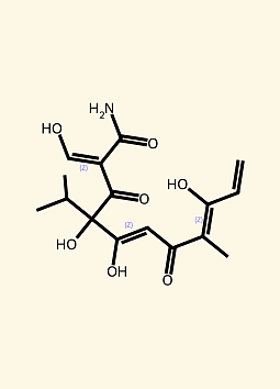 C=C/C(O)=C(\C)C(=O)/C=C(\O)C(O)(C(=O)/C(=C/O)C(N)=O)C(C)C